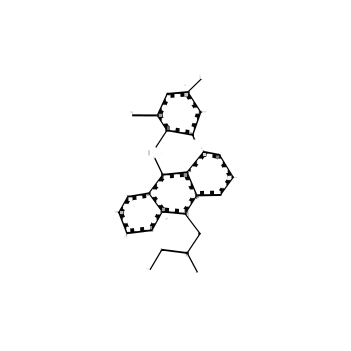 CCC(C)Cc1c2ccccc2c(Bc2c(C)cc(C)cc2C)c2ccccc12